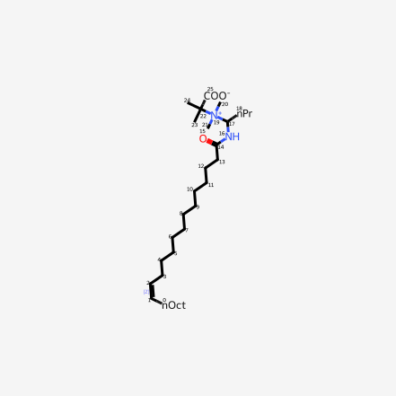 CCCCCCCC/C=C\CCCCCCCCCCCC(=O)NC(CCC)[N+](C)(C)C(C)(C)C(=O)[O-]